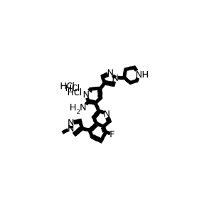 Cl.Cl.Cl.Cn1cc(-c2ccc(F)c3cnc(-c4cc(-c5cnn(C6CCNCC6)c5)cnc4N)cc23)cn1